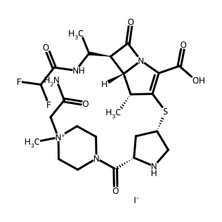 CC(NC(=O)C(F)F)[C@H]1C(=O)N2C(C(=O)O)=C(S[C@@H]3CN[C@H](C(=O)N4CC[N+](C)(CC(N)=O)CC4)C3)[C@H](C)[C@H]12.[I-]